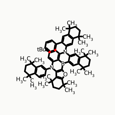 CC(C)(C)c1cc2c3c(c1)N(c1ccc4c(c1)C(C)(C)CCC4(C)C)c1c(oc4c1C(C)(C)CCC4(C)C)B3c1cc3c(cc1N2c1cc2c(cc1-c1ccccc1)C(C)(C)CCC2(C)C)C(C)(C)CCC3(C)C